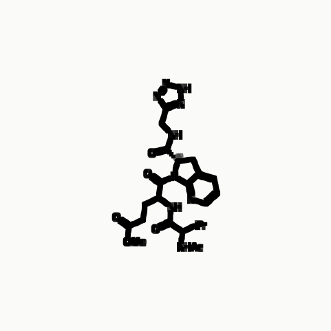 COC(=O)CCC(NC(=O)C(NC(C)=O)C(C)C)C(=O)N1c2ncccc2C[C@H]1C(=O)NCc1nn[nH]n1